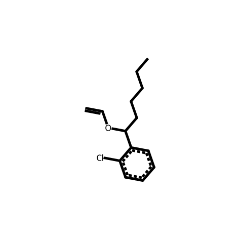 C=COC(CCCCC)c1ccccc1Cl